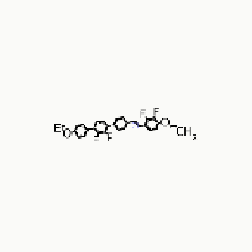 C=CCOc1ccc(/C=C/c2ccc(-c3ccc(-c4ccc(OCC)cc4)c(F)c3F)cc2)c(F)c1F